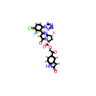 C[C@@H]1C[C@H](C(=O)OCC(=O)c2ccc3c(c2)CC(=O)N3)n2c1nc(-c1c(-n3cnnn3)ccc(Cl)c1F)cc2=O